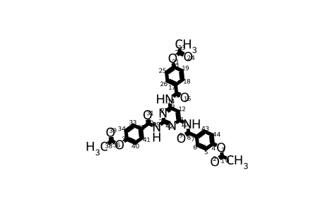 CC(=O)Oc1ccc(C(=O)Nc2cc(NC(=O)c3ccc(OC(C)=O)cc3)nc(NC(=O)c3ccc(OC(C)=O)cc3)n2)cc1